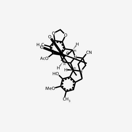 COc1c(C)cc2c(c1O)[C@@H]1C3[C@@H]4SCC(=O)C(=O)OC[C@@H](c5c6c(c(C)c(OC(C)=O)c54)OCO6)N3C3(C#N)CC2N1C3